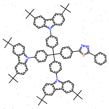 CC(C)(C)c1ccc2c(c1)c1cc(C(C)(C)C)ccc1n2-c1ccc(C(c2ccc(-c3nnc(-c4ccccc4)s3)cc2)(c2ccc(-n3c4ccc(C(C)(C)C)cc4c4cc(C(C)(C)C)ccc43)cc2)c2ccc(-n3c4ccc(C(C)(C)C)cc4c4cc(C(C)(C)C)ccc43)cc2)cc1